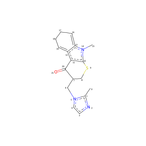 Cc1nccn1CC1CSc2c(c3c(n2C)=CCCC=3)C1=O